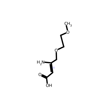 COCCOC/C(N)=C/C(=O)O